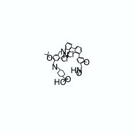 CONCc1ccc(-c2cccc(-c3cccc4c3cnn4Cc3cc(OC(C)C)c(CN(C)CC4CCC(C(=O)O)CC4)cc3Cl)c2Cl)cc1OC